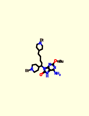 CCCCOc1nc(N)c2[nH]c(=O)n(C(CCCCC3CCN(CC)CC3)C3CCN(CC)CC3)c2n1